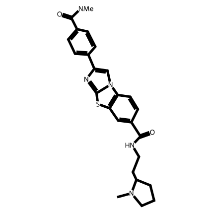 CNC(=O)c1ccc(-c2cn3c(n2)sc2cc(C(=O)NCCC4CCCN4C)ccc23)cc1